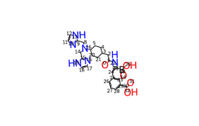 O=C(CC1CCC(N(Cc2ncc[nH]2)Cc2ncc[nH]2)CC1)N[C@H]1Cc2cccc(C(=O)O)c2OB1O